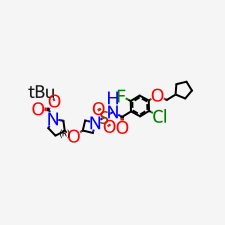 CC(C)(C)OC(=O)N1CC[C@@H](OC2CN(S(=O)(=O)NC(=O)c3cc(Cl)c(OCC4CCCC4)cc3F)C2)C1